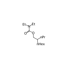 CCCCCCC(CCC)COC(=O)N(CC)CC